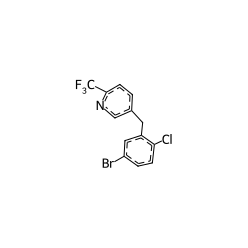 FC(F)(F)c1ccc(Cc2cc(Br)ccc2Cl)cn1